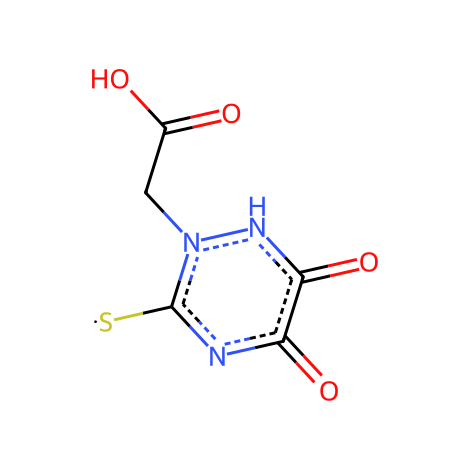 O=C(O)Cn1[nH]c(=O)c(=O)nc1[S]